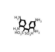 Nc1ccc(C(=C(c2ccc(N)cc2N)S(=O)(=O)O)S(=O)(=O)O)c(N)c1